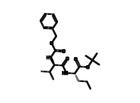 CCC[C@H](NC(=O)[C@H](NC(=O)OCc1ccccc1)C(C)C)C(=O)OC(C)(C)C